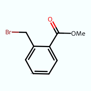 COC(=O)c1cc[c]cc1CBr